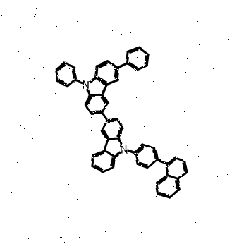 c1ccc(-c2ccc3c(c2)c2cc(-c4ccc5c(c4)c4ccccc4n5-c4ccc(-c5cccc6ccccc56)cc4)ccc2n3-c2ccccc2)cc1